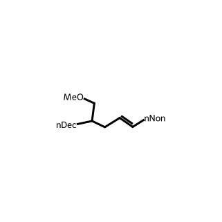 CCCCCCCCC/C=C/CC(CCCCCCCCCC)COC